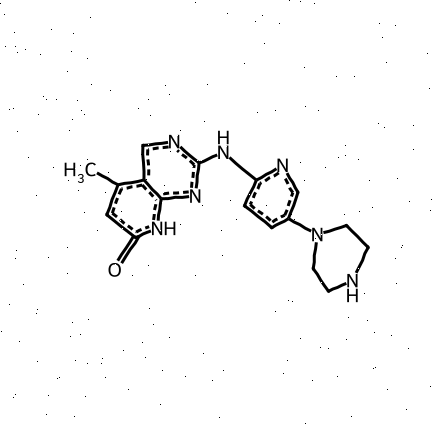 Cc1cc(=O)[nH]c2nc(Nc3ccc(N4CCNCC4)cn3)ncc12